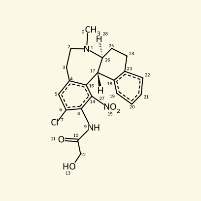 CN1CCc2cc(Cl)c(NC(=O)CO)c([N+](=O)[O-])c2[C@H]2c3ccccc3CC[C@@H]21